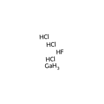 Cl.Cl.Cl.F.[GaH3]